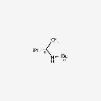 CC[C@@H](C)N[C@H](C(C)C)C(F)(F)F